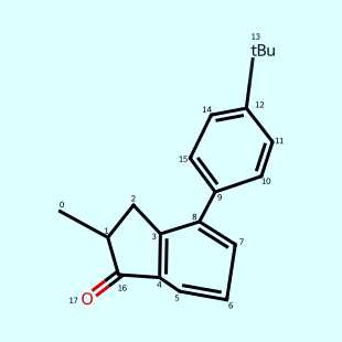 CC1Cc2c(cccc2-c2ccc(C(C)(C)C)cc2)C1=O